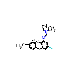 CCN(C)C=Nc1cc(F)cc(Cc2ccc(C)cc2)c1C